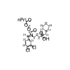 CCCC(=O)OCOC(=O)N(CCCP(=O)(O)CC1CCCCC1)[C@@H](C)c1ccc(Cl)c(Cl)c1